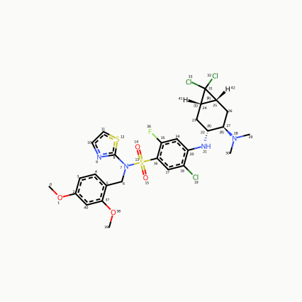 COc1ccc(CN(c2nccs2)S(=O)(=O)c2cc(Cl)c(N[C@@H]3C[C@H]4[C@@H](C[C@H]3N(C)C)C4(Cl)Cl)cc2F)c(OC)c1